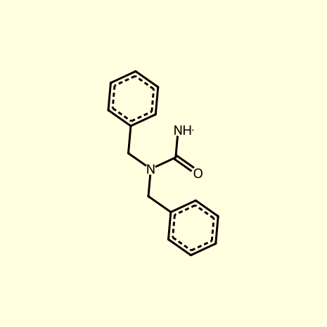 [NH]C(=O)N(Cc1ccccc1)Cc1ccccc1